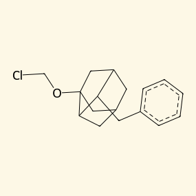 ClCOC12CC3CC(C1)C(Cc1ccccc1)C2C3